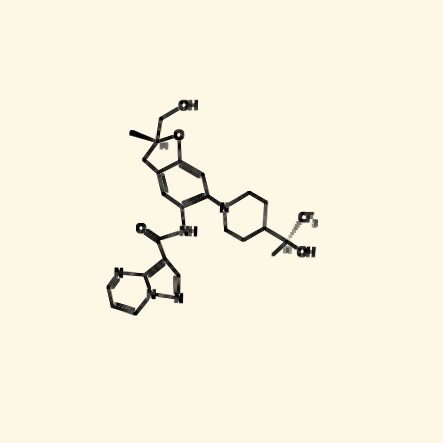 C[C@]1(CO)Cc2cc(NC(=O)c3cnn4cccnc34)c(N3CCC([C@](C)(O)C(F)(F)F)CC3)cc2O1